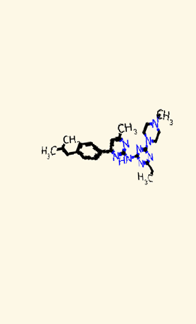 CCc1nc(Nc2nc(C)cc(-c3ccc(CC(C)C)cc3)n2)nc(N2CCN(C)CC2)n1